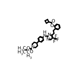 CC(C)(C)OC(=O)N1CCC(c2ccc(Nc3ncc(C(F)(F)F)c(CCc4ccccc4OC(=O)C4CCC4)n3)cc2)CC1